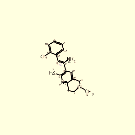 CN1CCc2nc(S)c(/C(N)=C/c3ccccc3Cl)cc2C1